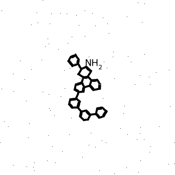 NC1=Cc2c(c3ccc(-c4cccc(C5=CCCC(c6ccccc6)=C5)c4)cc3c3ccccc23)CC1c1ccccc1